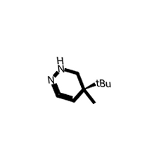 CC(C)(C)[C@@]1(C)C=C=NNC1